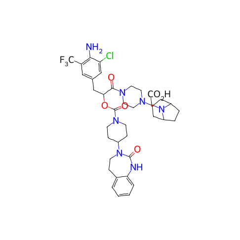 Nc1c(Cl)cc(CC(OC(=O)N2CCC(N3CCc4ccccc4NC3=O)CC2)C(=O)N2CCN(C3CC4CCC(C3)N4CC(=O)O)CC2)cc1C(F)(F)F